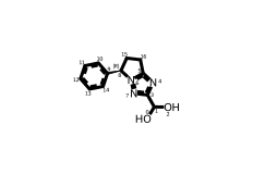 OC(O)c1nc2n(n1)[C@@H](c1ccccc1)CC2